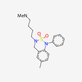 CNCCCCN1Cc2cc(C)ccc2N(c2ccccc2)S1(=O)=O